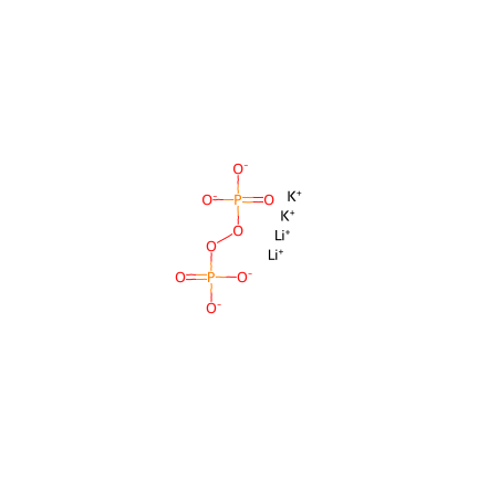 O=P([O-])([O-])OOP(=O)([O-])[O-].[K+].[K+].[Li+].[Li+]